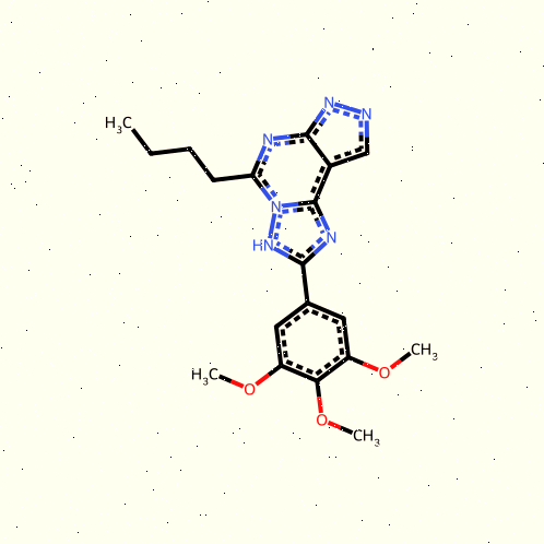 CCCCc1nc2nncc-2c2nc(-c3cc(OC)c(OC)c(OC)c3)[nH]n12